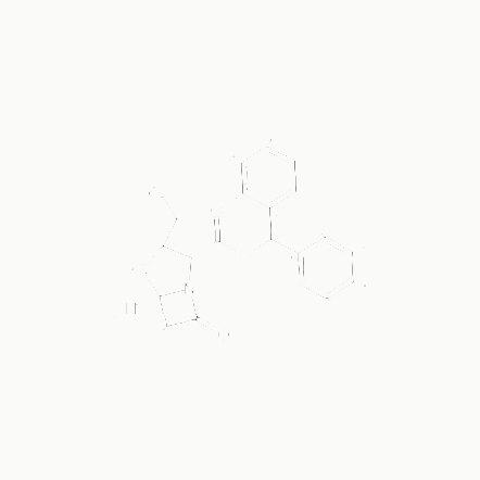 C[C@@]1(CCl)S[C@@H]2CC(=O)N2[C@H]1C(=O)OC(c1ccccc1)c1ccccc1